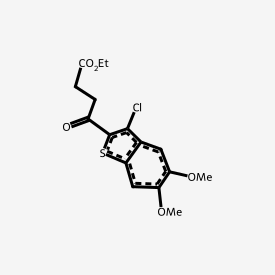 CCOC(=O)CCC(=O)c1sc2cc(OC)c(OC)cc2c1Cl